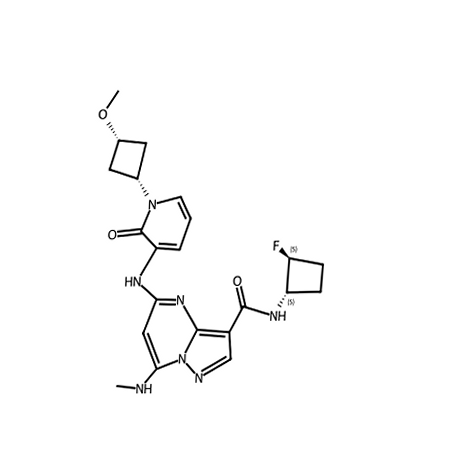 CNc1cc(Nc2cccn([C@H]3C[C@@H](OC)C3)c2=O)nc2c(C(=O)N[C@H]3CC[C@@H]3F)cnn12